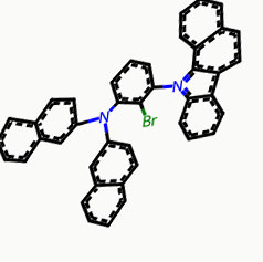 Brc1c(N(c2ccc3ccccc3c2)c2ccc3ccccc3c2)cccc1-n1c2ccccc2c2ccc3ccccc3c21